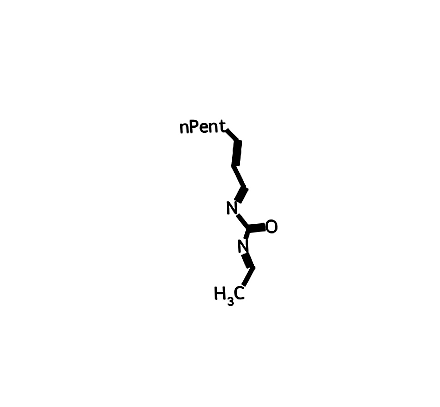 CC=NC(=O)N=CC=CCCCCC